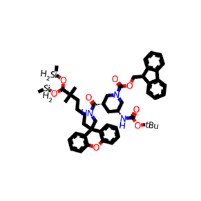 C[SiH2]OC(O[SiH2]C)C(C)(C)CCCCC1(CNC(=O)[C@H]2C[C@@H](NC(=O)OC(C)(C)C)CN(C(=O)OCC3c4ccccc4-c4ccccc43)C2)c2ccccc2Oc2ccccc21